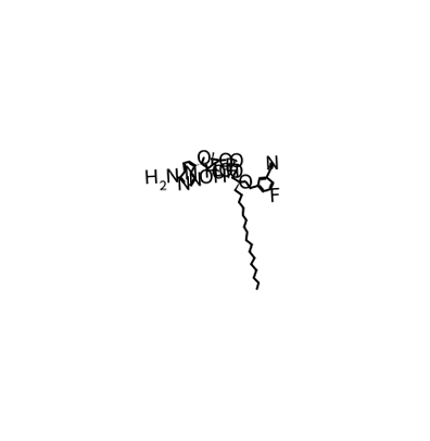 CCCCCCCCCCCCCCCCC[C@@H](COP(=O)(O)OC1[C@@]2(C)O[C@@H](c3ccc4c(N)ncnn34)[C@H](O)[C@@]12O)OCc1cc(F)cc(C#N)c1